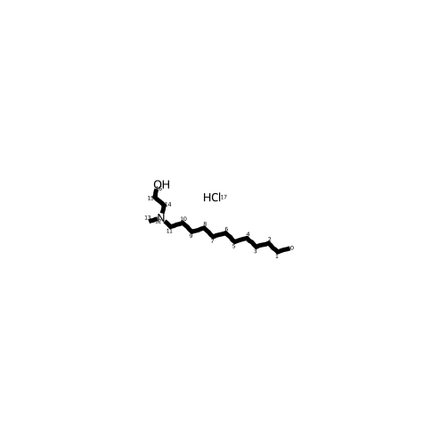 CCCCCCCCCCCCN(C)CCO.Cl